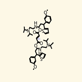 COc1cccc(C(CC(NCCN(C(C)C)C(C)C)OC(=O)/C=C/C(=O)OC(CC(c2cccc(OC)c2)c2cccs2)NCCN(C(C)C)C(C)C)c2cccs2)c1